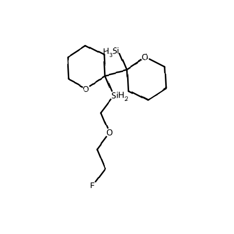 FCCOC[SiH2]C1(C2([SiH3])CCCCO2)CCCCO1